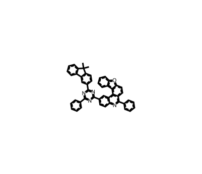 CC1(C)c2ccccc2-c2cc(-c3nc(-c4ccccc4)nc(-c4ccc5nc(-c6ccccc6)c6ccc7oc8ccccc8c7c6c5c4)n3)ccc21